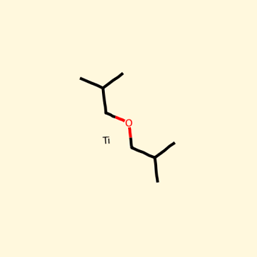 CC(C)COCC(C)C.[Ti]